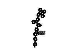 CCCCCCCCC1(CCCCCCCC)c2cc(-c3ccc(-c4ccc(C)cc4)cc3)ccc2-c2ccc(-c3cc(C)cc(-n4c5ccccc5c5cc(-c6ccc7c(c6)C6(c8ccccc8-c8ccccc86)c6ccccc6-7)ccc54)c3)cc21